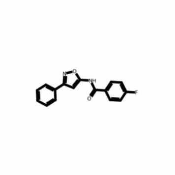 O=C(Nc1cc(-c2ccccc2)no1)c1ccc(F)cc1